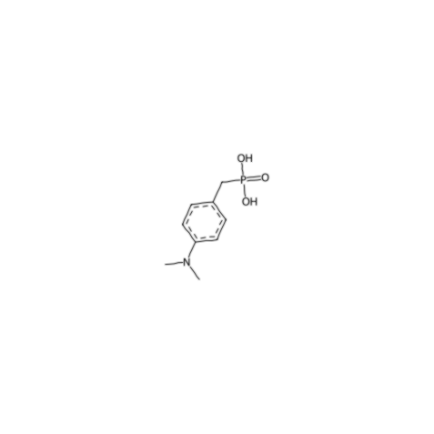 CN(C)c1ccc(CP(=O)(O)O)cc1